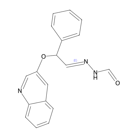 O=CN/N=C/C(Oc1cnc2ccccc2c1)c1ccccc1